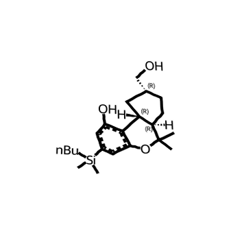 CCCC[Si](C)(C)c1cc(O)c2c(c1)OC(C)(C)[C@@H]1CC[C@@H](CO)C[C@@H]21